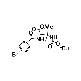 COC(=O)[C@@H](NC(=O)c1ccc(Br)cc1)C(C)(C)NC(=O)OC(C)(C)C